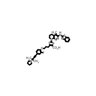 Cc1c(Nc2nc3ccccc3s2)nnc2c1CCCN2c1nc(C(=O)O)c(CCCOc2ccc(C#CC(C)(C)N3CCCC3)cc2F)s1